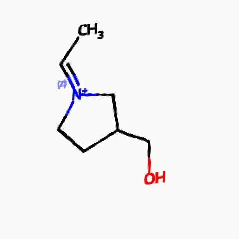 C/C=[N+]1/CCC(CO)C1